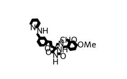 COc1ccc(CN(C=O)C[C@@]2(c3cc4cc(CNc5ccccn5)ccc4o3)NC(=O)NC2=O)c(C)c1